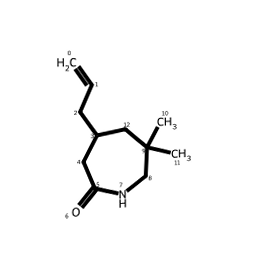 C=CCC1CC(=O)NCC(C)(C)C1